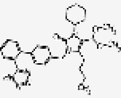 CCCCc1c(C(OC)OC)n(C2CCCCC2)c(=O)n1Cc1ccc(-c2ccccc2-c2nnn[nH]2)cc1